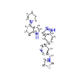 c1cc(N2CCCCC2)c2cc(-c3n[nH]c4ccc(-c5cncc(CN6CCCC6)c5)cc34)[nH]c2c1